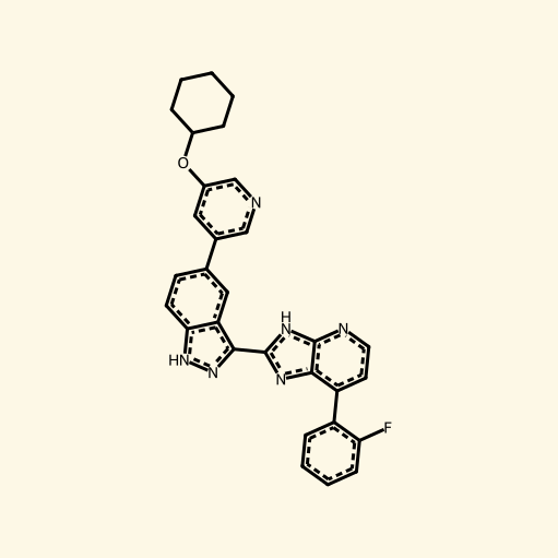 Fc1ccccc1-c1ccnc2[nH]c(-c3n[nH]c4ccc(-c5cncc(OC6CCCCC6)c5)cc34)nc12